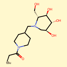 CC(C)(C)CC(=O)N1CCC(CN2C[C@H](O)[C@@H](O)[C@H](O)[C@H]2CO)CC1